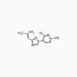 CC(C)=Cc1ncc(-c2ccc(C#N)nc2Cl)o1